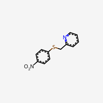 O=[N+]([O-])c1ccc(SCc2ccccn2)cc1